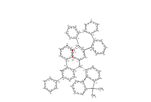 CC1(C)c2ccccc2-c2c(N(c3ccc4c(c3)-c3ccccc3-c3ccccc3-c3ccccc3-4)c3ccc(-c4ccccc4)cc3-c3ccccc3)cccc21